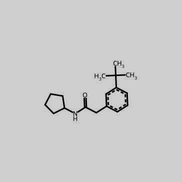 CC(C)(C)c1cccc(CC(=O)NC2CCCC2)c1